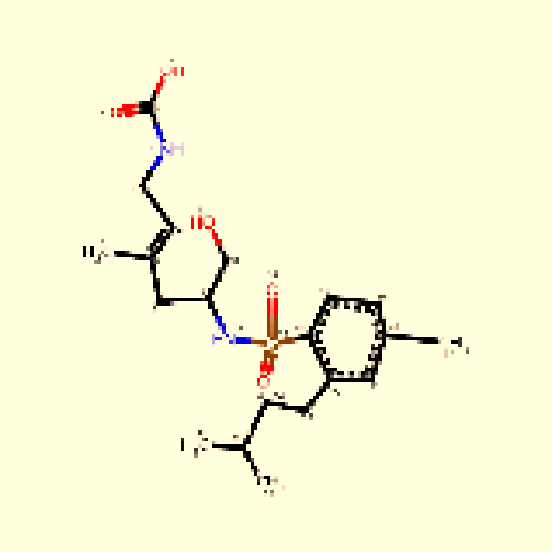 CC(=CCNC(=O)O)C[C@@H](CO)NS(=O)(=O)c1ccc(C)cc1CCC(C)C